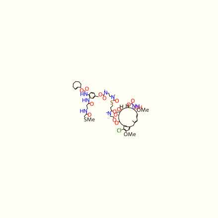 COc1cc2cc(c1Cl)CC(=O)C[C@H](OC(=O)[C@H](C)N(C)C(=O)CCSC(=O)N(C)CCN(C)C(=O)OCc1ccc(NC(=O)OC3/C=C/CCCCC3)c(NC(=O)CCNC(=O)CSC)c1)[C@]1(C)O[C@H]1[C@H](C)[C@@H]1C[C@@](O)(NC(=O)O1)[C@H](OC)/C=C/C=C(\C)C2